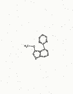 COc1[c]sc2cccc(-c3ncccn3)c12